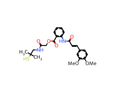 COc1ccc(C=CC(=O)Nc2ccccc2C(=O)OCC(=O)NCC(C)(C)S)cc1OC